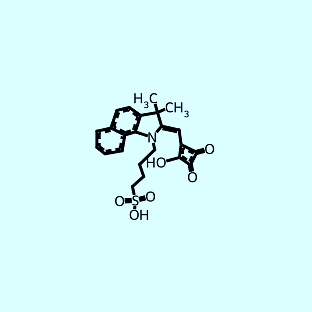 CC1(C)C(=Cc2c(O)c(=O)c2=O)N(CCCCS(=O)(=O)O)c2c1ccc1ccccc21